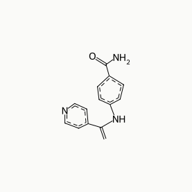 C=C(Nc1ccc(C(N)=O)cc1)c1ccncc1